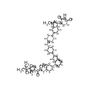 CN(Cc1ccc(-c2ncnn3cc(-c4ccc(CN5CCC(c6ccc7c(N8CCC(=O)NC8=O)nn(C)c7c6)CC5)cc4)cc23)cc1F)C(=O)c1noc(C(C)(C)C)n1